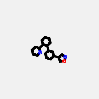 [c]1ccc(-c2cccc(-c3cnoc3)c2)c(-c2ccccn2)c1